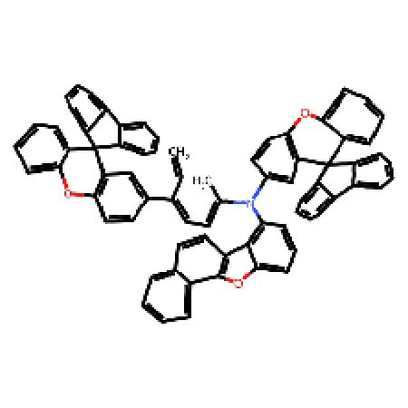 C=C/C(=C\C=C(/C)N(c1ccc2c(c1)C1(c3ccccc3O2)c2ccccc2-c2ccccc21)c1cccc2oc3c4ccccc4ccc3c12)c1ccc2c(c1)C1(c3ccccc3O2)c2ccccc2-c2ccccc21